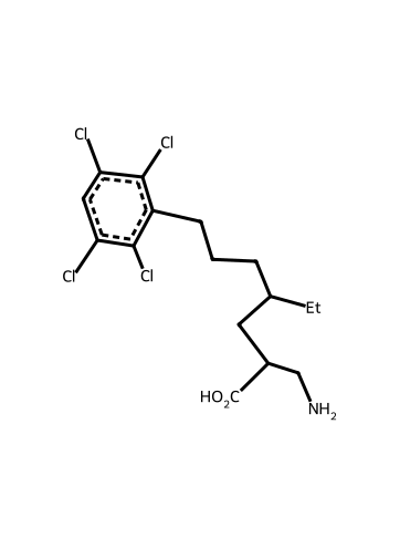 CCC(CCCc1c(Cl)c(Cl)cc(Cl)c1Cl)CC(CN)C(=O)O